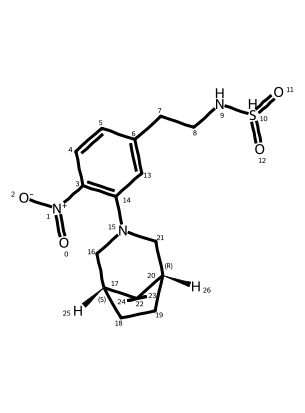 O=[N+]([O-])c1ccc(CCN[SH](=O)=O)cc1N1C[C@H]2CC[C@@H](C1)C21CC1